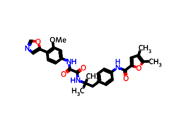 COc1cc(NC(=O)C(=O)NC(C)(C)Cc2ccc(NC(=O)c3cc(C)c(C)o3)cc2)ccc1-c1cnco1